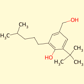 CC(C)CCCc1cc(CO)cc(C(C)(C)C)c1O